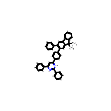 CC1(C)c2ccccc2-c2cc(-c3ccccc3)c(-c3ccc(-c4cc(-c5ccccc5)nc(-c5ccccc5)n4)cc3)cc21